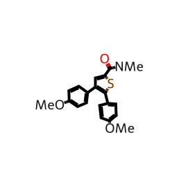 CNC(=O)c1cc(-c2ccc(OC)cc2)c(-c2ccc(OC)cc2)s1